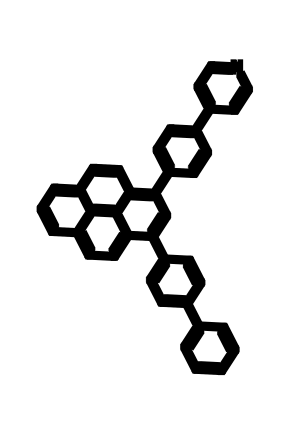 c1ccc(-c2ccc(-c3cc(-c4ccc(-c5ccncc5)cc4)c4ccc5cccc6ccc3c4c65)cc2)cc1